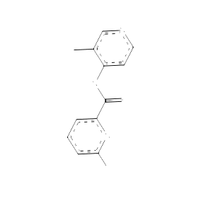 Cc1cnccc1NC(=O)c1cccc(Cl)n1